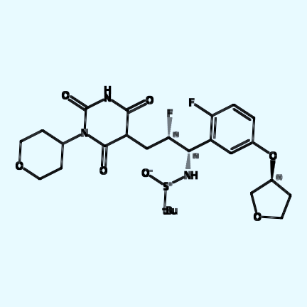 CC(C)(C)[S+]([O-])N[C@@H](c1cc(O[C@H]2CCOC2)ccc1F)[C@@H](F)CC1C(=O)NC(=O)N(C2CCOCC2)C1=O